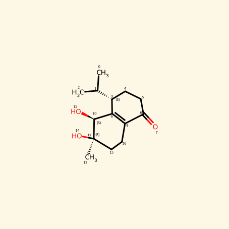 CC(C)[C@@H]1CCC(=O)C2=C1[C@H](O)[C@](C)(O)CC2